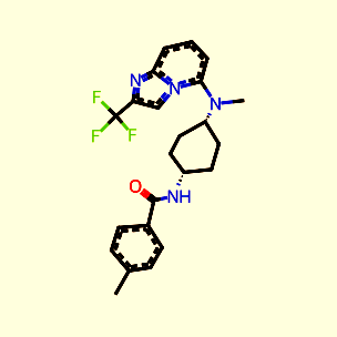 Cc1ccc(C(=O)N[C@H]2CC[C@@H](N(C)c3cccc4nc(C(F)(F)F)cn34)CC2)cc1